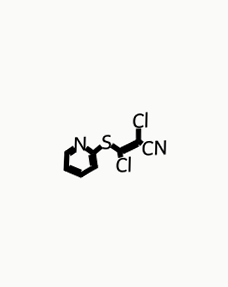 N#CC(Cl)=C(Cl)Sc1ccccn1